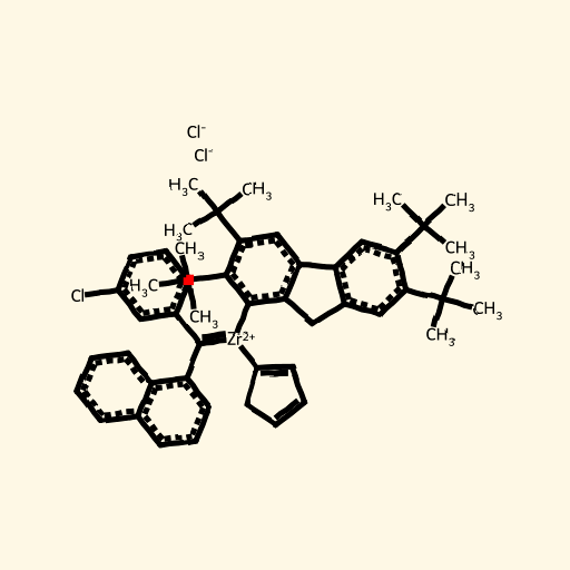 CC(C)(C)c1cc2c(cc1C(C)(C)C)-c1cc(C(C)(C)C)c(C(C)(C)C)[c](/[Zr+2]([C]3=CC=CC3)=[C](\c3cccc(Cl)c3)c3cccc4ccccc34)c1C2.[Cl-].[Cl-]